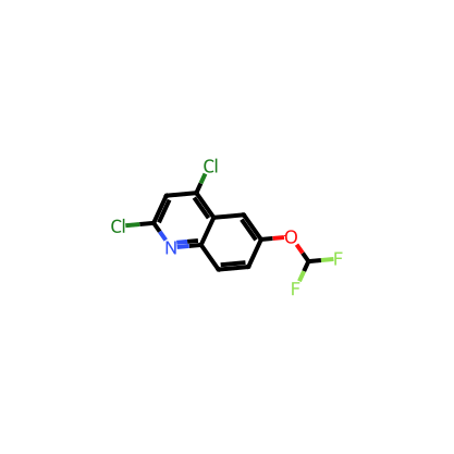 FC(F)Oc1ccc2nc(Cl)cc(Cl)c2c1